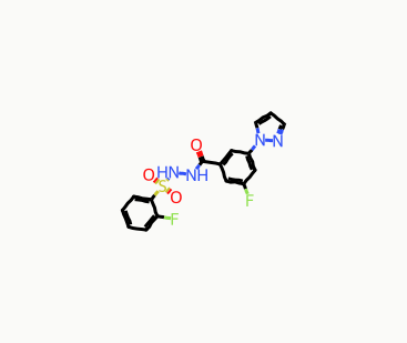 O=C(NNS(=O)(=O)c1ccccc1F)c1cc(F)cc(-n2cccn2)c1